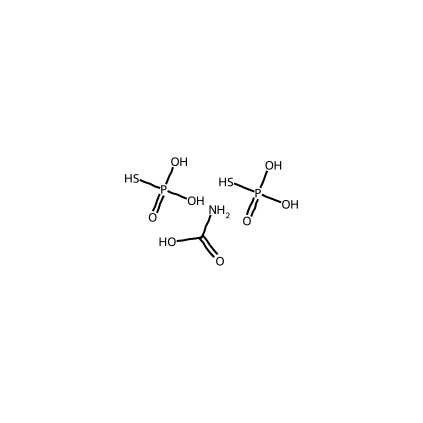 NC(=O)O.O=P(O)(O)S.O=P(O)(O)S